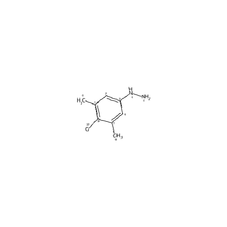 Cc1cc(NN)cc(C)c1Cl